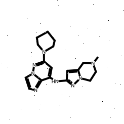 CN1CCn2nc(Nc3cc(N4CCCCC4)nn4ccnc34)cc2C1